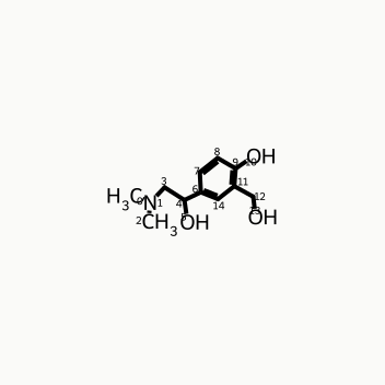 CN(C)CC(O)c1ccc(O)c(CO)c1